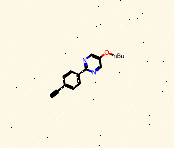 C#Cc1ccc(-c2ncc(OCCCC)cn2)cc1